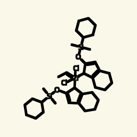 C[CH]=[Zr]([Cl])([Cl])([CH]1C(O[Si](C)(C)C2CCCCC2)=CC2=C1CCCC2)[CH]1C(O[Si](C)(C)C2CCCCC2)=CC2=C1CCCC2